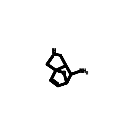 NC1C2C=CC3(CNCC13)O2